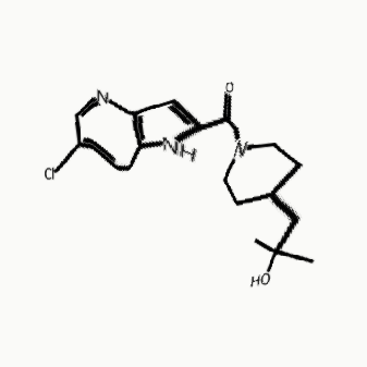 CC(C)(O)CC1CCN(C(=O)c2cc3ncc(Cl)cc3[nH]2)CC1